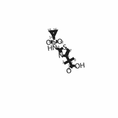 CC(C)(C(=O)O)c1csc(NS(=O)(=O)C2CC2)n1